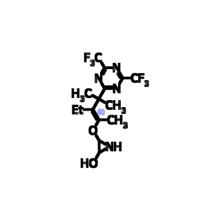 CC/C(=C(/C)OC1NC1O)C(C)(C)c1nc(C(F)(F)F)nc(C(F)(F)F)n1